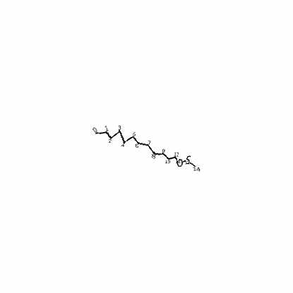 CCCCCCCCCCCCOSC